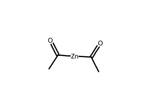 C[C](=O)[Zn][C](C)=O